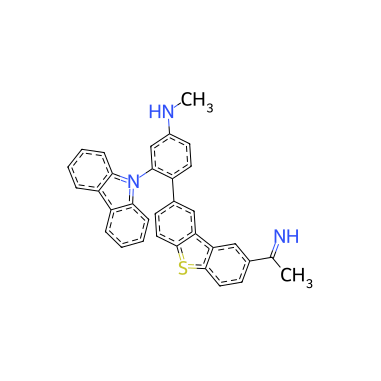 CNc1ccc(-c2ccc3sc4ccc(C(C)=N)cc4c3c2)c(-n2c3ccccc3c3ccccc32)c1